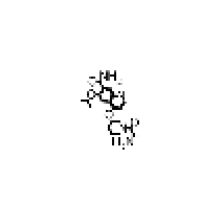 CC(C)Oc1cc2c(O[C@@H]3CCCN(C(=O)[C@H](C)N)C3)ccnc2cc1C(N)=O